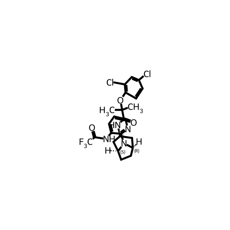 CC(C)(Oc1ccc(Cl)cc1Cl)C(=O)N[C@H]1C[C@H]2CC[C@@H](C1)N2c1ncccc1NC(=O)C(F)(F)F